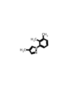 Cc1[c]nn(-c2cccc(C)c2C)c1